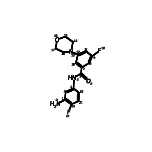 Nc1cc(NC(=O)c2cc(F)cc(N3CCOCC3)c2)ccc1F